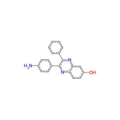 Nc1ccc(-c2nc3ccc(O)cc3nc2-c2ccccc2)cc1